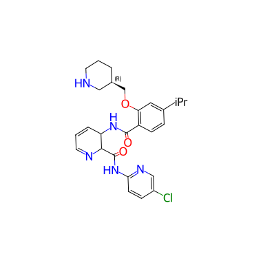 CC(C)c1ccc(C(=O)NC2C=CC=NC2C(=O)Nc2ccc(Cl)cn2)c(OC[C@@H]2CCCNC2)c1